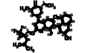 CC[C@@H]1CN(c2nc(OC[C@]3(CN(C)C)CC3(F)F)nc3c(F)c(-c4cc(O)cc5cccc(Cl)c45)ncc23)C[C@@H](C)N1